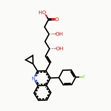 O=C(O)C[C@H](O)C[C@H](O)/C=C/c1c(C2CC2)nc2ccccc2c1C1C=CC(F)=CC1